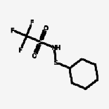 O=S(=O)(NSC1CCCCC1)C(F)(F)F